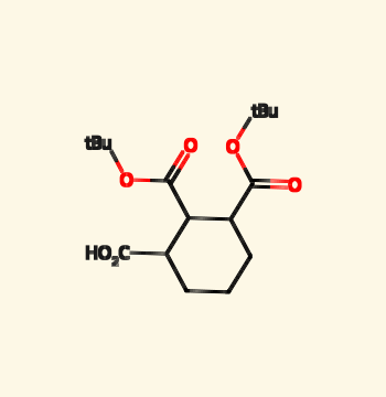 CC(C)(C)OC(=O)C1CCCC(C(=O)O)C1C(=O)OC(C)(C)C